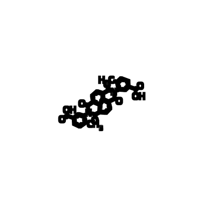 Cc1ccc(C(=O)O)cc1N1C(=O)c2ccc3c4c(ccc(c24)C1=O)C(=O)N(c1cc(C(=O)O)ccc1C)C3=O